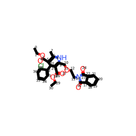 CCOC(=O)C1=C(C)NC(COCCN2C(=O)c3ccccc3C2=O)=C(C(=O)OCC)C1c1ccccc1Cl